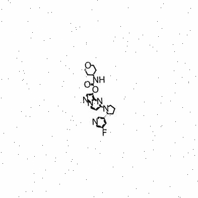 O=C(NC1CCOCC1)Oc1cnn2ccc(N3CCC[C@@H]3c3cncc(F)c3)nc12